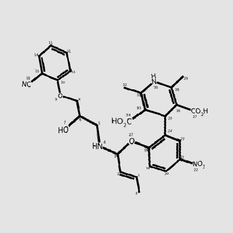 C/C=C/C(NCC(O)COc1ccccc1C#N)Oc1ccc([N+](=O)[O-])cc1C1C(C(=O)O)=C(C)NC(C)=C1C(=O)O